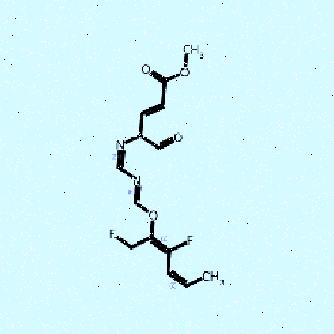 C/C=C\C(F)=C(/CF)O/C=N/C=N\C(C=O)C=CC(=O)OC